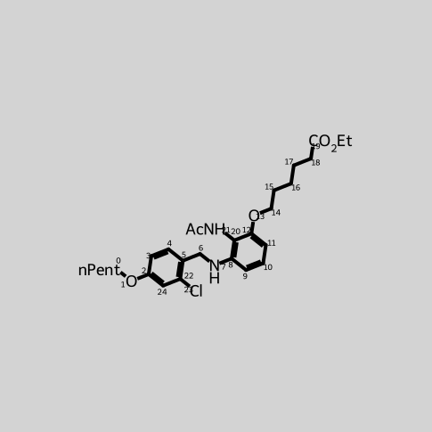 CCCCCOc1ccc(CNc2cccc(OCCCCCC(=O)OCC)c2NC(C)=O)c(Cl)c1